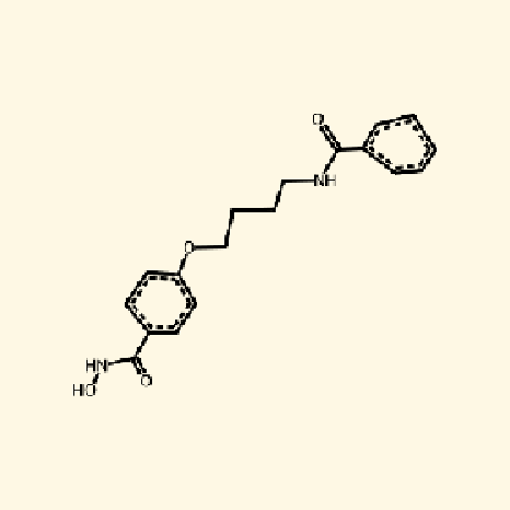 O=C(NO)c1ccc(OCCCCNC(=O)c2ccccc2)cc1